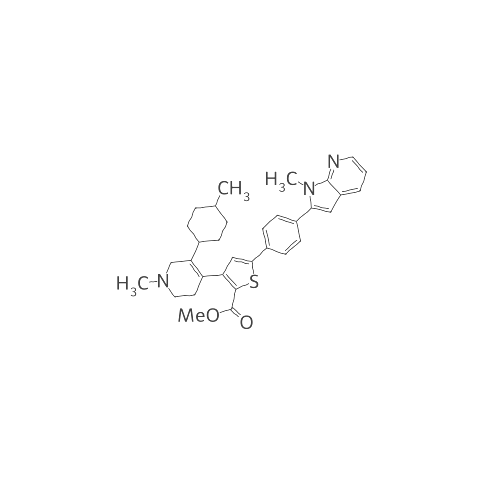 COC(=O)c1sc(-c2ccc(-c3cc4cccnc4n3C)cc2)cc1C1=C(C2CCC(C)CC2)CN(C)CC1